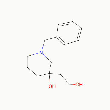 OCCC1(O)CCCN(Cc2ccccc2)C1